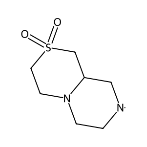 O=S1(=O)CCN2CC[N]CC2C1